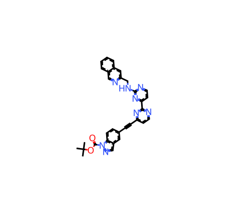 CC(C)(C)OC(=O)n1ncc2cc(C#Cc3ccnc(-c4ccnc(NCc5cc6ccccc6cn5)n4)n3)ccc21